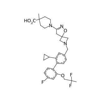 CC(F)(F)COc1cc(F)ccc1-c1ccc(CN2CC3(CC(N4CCC(C)(C(=O)O)CC4)=NO3)C2)cc1C1CC1